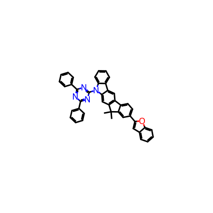 CC1(C)c2cc(-c3cc4ccccc4o3)ccc2-c2cc3c4ccccc4n(-c4nc(-c5ccccc5)nc(-c5ccccc5)n4)c3cc21